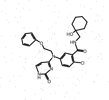 O=C(NCC1(O)CCCCC1)c1cc(N(CCOc2ccccc2)c2cc[nH]c(=O)n2)ccc1Cl